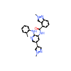 Cc1ccccc1Nc1ncc(-c2cnn(C)c2)cc1NC(=O)c1cccc2nn(C)cc12